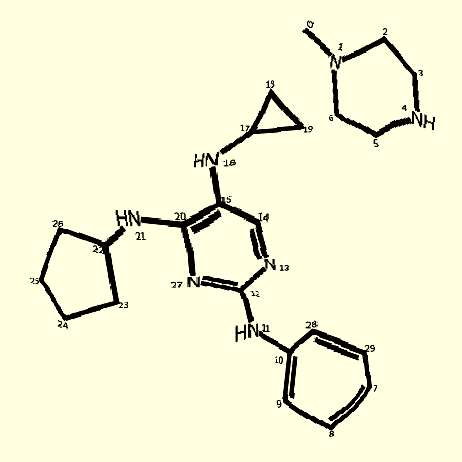 CN1CCNCC1.c1ccc(Nc2ncc(NC3CC3)c(NC3CCCC3)n2)cc1